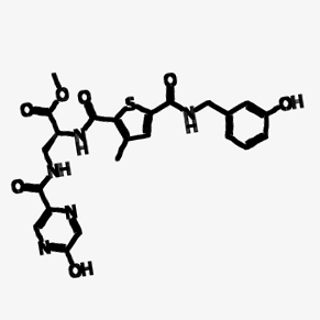 COC(=O)[C@H](CNC(=O)c1cnc(O)cn1)NC(=O)c1sc(C(=O)NCc2cccc(O)c2)cc1C